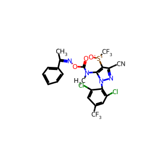 CC(=NOC(=O)N(C)c1c([S+]([O-])C(F)(F)F)c(C#N)nn1-c1c(Cl)cc(C(F)(F)F)cc1Cl)c1ccccc1